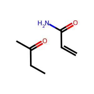 C=CC(N)=O.CCC(C)=O